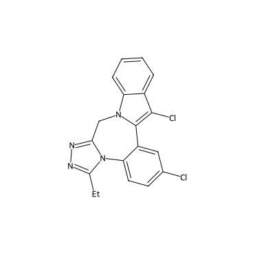 CCc1nnc2n1-c1ccc(Cl)cc1-c1c(Cl)c3ccccc3n1C2